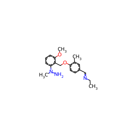 CC/N=C/c1ccc(OCc2c(OC)cccc2N(C)N)c(C)c1